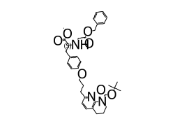 COC(=O)[C@H](Cc1ccc(OCCCc2ccc3c(n2)N(C(=O)OC(C)(C)C)CCC3)cc1)NCC(=O)OCc1ccccc1